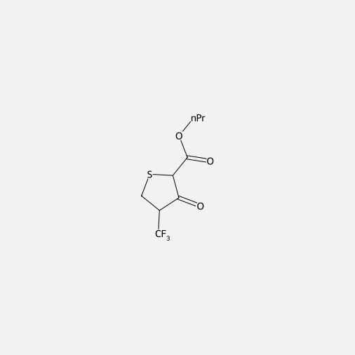 CCCOC(=O)C1SCC(C(F)(F)F)C1=O